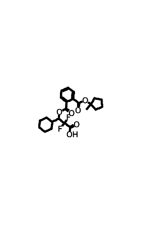 CC1(OC(=O)c2ccccc2C(=O)OC(C2CCCCC2)C(F)(F)C(=O)O)CCCC1